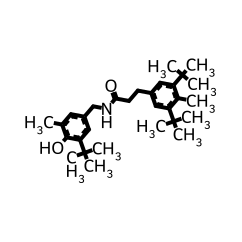 Cc1cc(CNC(=O)CCc2cc(C(C)(C)C)c(C)c(C(C)(C)C)c2)cc(C(C)(C)C)c1O